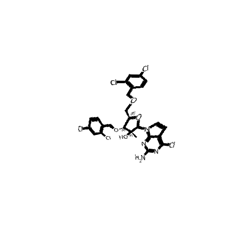 C[C@]1(O)C(n2ccc3c(Cl)nc(N)nc32)O[C@H](COCc2ccc(Cl)cc2Cl)[C@H]1OCc1ccc(Cl)cc1Cl